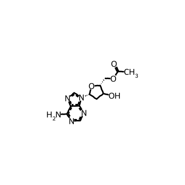 CC(=O)OC[C@H]1O[C@@H](n2cnc3c(N)ncnc32)CC1O